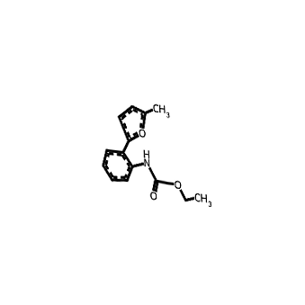 CCOC(=O)Nc1ccccc1-c1ccc(C)o1